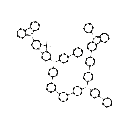 CC1(C)c2cc(N(c3ccc(-c4ccccc4)cc3)c3ccc(-c4cccc(-c5cccc(-c6ccc(N(c7ccc(-c8ccccc8)cc7)c7ccc(-c8ccc(-c9ccc%10c(c9)c9ccccc9n%10-c9ccccc9)cc8)cc7)cc6)c5)c4)cc3)ccc2-c2ccc(-n3c4ccccc4c4ccccc43)cc21